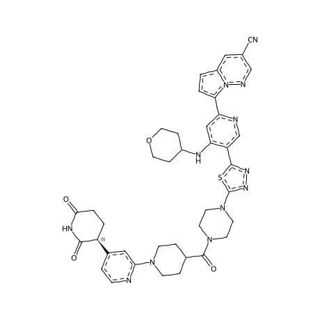 N#Cc1cnn2c(-c3cc(NC4CCOCC4)c(-c4nnc(N5CCN(C(=O)C6CCN(c7cc([C@@H]8CCC(=O)NC8=O)ccn7)CC6)CC5)s4)cn3)ccc2c1